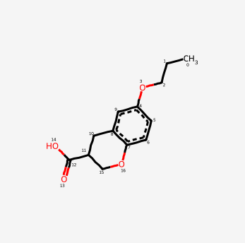 CCCOc1ccc2c(c1)CC(C(=O)O)CO2